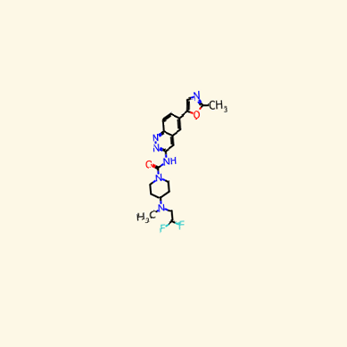 Cc1ncc(-c2ccc3nnc(NC(=O)N4CCC(N(C)CC(F)F)CC4)cc3c2)o1